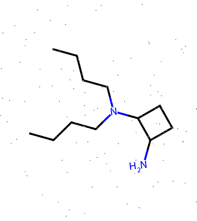 CCCCN(CCCC)C1CCC1N